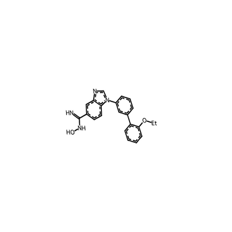 CCOc1ccccc1-c1cccc(-n2cnc3cc(C(=N)NO)ccc32)c1